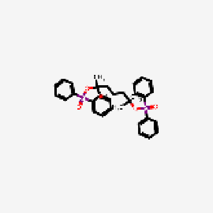 CC(C)(CCCC(C)(C)OP(=O)(c1ccccc1)c1ccccc1)OP(=O)(c1ccccc1)c1ccccc1